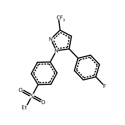 CCS(=O)(=O)c1ccc(-n2nc(C(F)(F)F)cc2-c2ccc(F)cc2)cc1